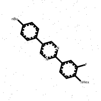 CCCCCCc1ccc(-c2ncc(-c3ccc(CCCC)cc3)cn2)cc1F